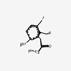 COC(=O)c1c(SC)ccc(F)c1Br